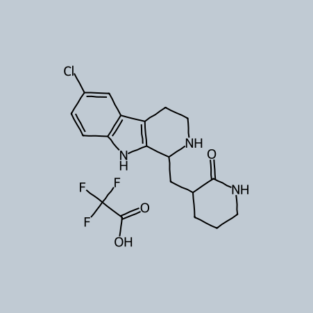 O=C(O)C(F)(F)F.O=C1NCCCC1CC1NCCc2c1[nH]c1ccc(Cl)cc21